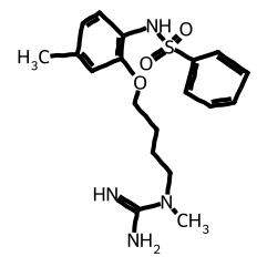 Cc1ccc(NS(=O)(=O)c2ccccc2)c(OCCCCN(C)C(=N)N)c1